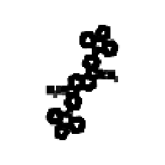 Cn1c2cc(N3c4ccccc4[Si]4(CCCC4)c4ccccc43)ccc2c2c3ccc4c(c3ccc21)c1ccc(N2c3ccccc3[Si]3(CCCC3)c3ccccc32)cc1n4C